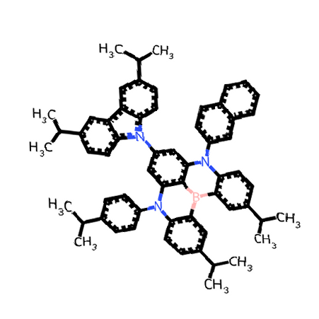 CC(C)c1ccc(N2c3ccc(C(C)C)cc3B3c4cc(C(C)C)ccc4N(c4ccc5ccccc5c4)c4cc(-n5c6ccc(C(C)C)cc6c6cc(C(C)C)ccc65)cc2c43)cc1